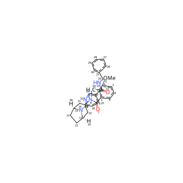 COc1cccc(C(=O)N[C@H]2C[C@H]3CC[C@@H](C2)N3c2ccc(C(=O)NCc3ccccc3)cn2)c1C